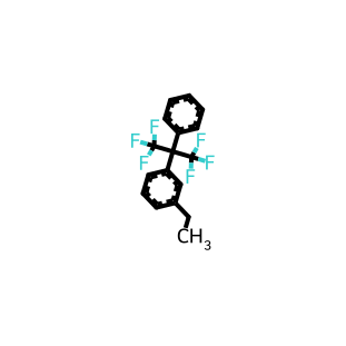 CCc1cccc(C(c2ccccc2)(C(F)(F)F)C(F)(F)F)c1